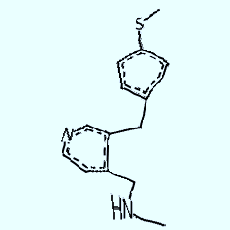 CNCc1ccncc1Cc1ccc(SC)cc1